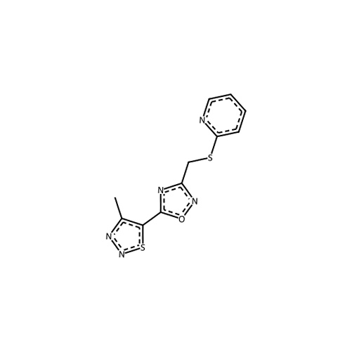 Cc1nnsc1-c1nc(CSc2ccccn2)no1